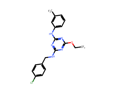 FC(F)(F)COc1nc(NCc2ccc(Cl)cc2)nc(Nc2cccc(C(F)(F)F)c2)n1